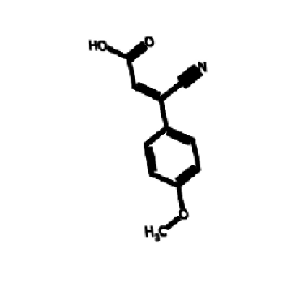 COc1ccc(/C(C#N)=C/C(=O)O)cc1